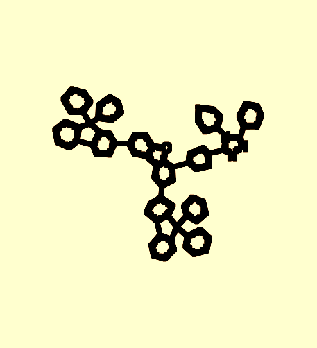 c1ccc(-c2nnc(-c3ccc(-c4cc(-c5ccc6c(c5)C(c5ccccc5)(c5ccccc5)c5ccccc5-6)cc5c4oc4ccc(-c6ccc7c(c6)C(c6ccccc6)(c6ccccc6)c6ccccc6-7)cc45)cc3)n2-c2ccccc2)cc1